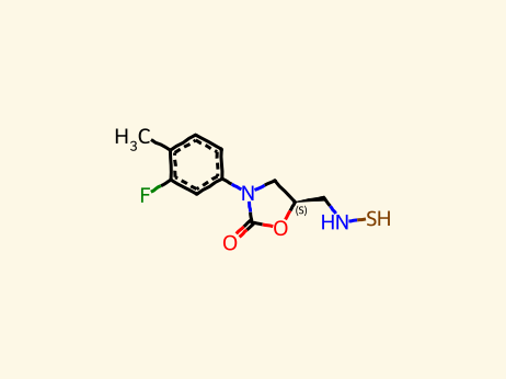 Cc1ccc(N2C[C@@H](CNS)OC2=O)cc1F